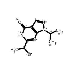 CC(Br)c1nc2c(cnn2C(C)C)c(=O)[nH]1